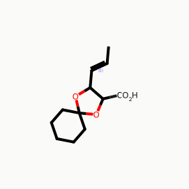 C/C=C/C1OC2(CCCCC2)OC1C(=O)O